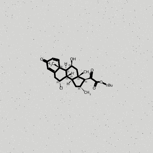 CCCCOC(=O)C(=O)[C@H]1[C@H](C)C[C@H]2[C@H]3[C@H]([C@@H](O)C[C@@]21C)[C@@]1(C)C=CC(=O)C=C1C[C@H]3Cl